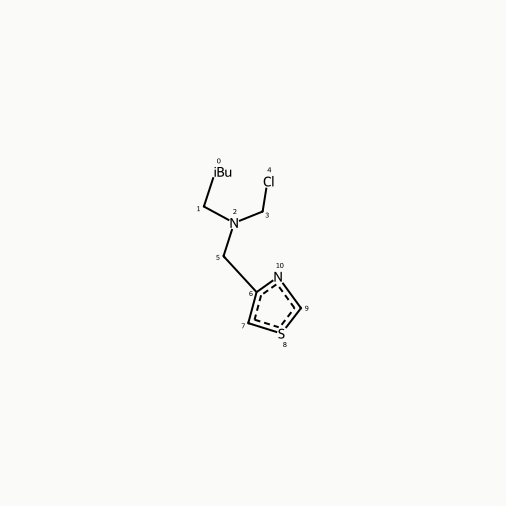 CCC(C)CN(CCl)Cc1cscn1